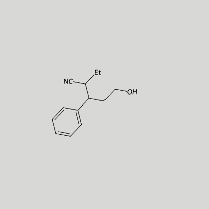 CCC(C#N)C(CCO)c1ccccc1